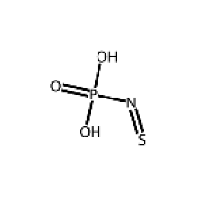 O=P(O)(O)N=S